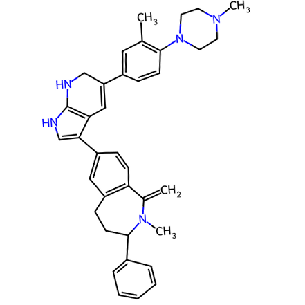 C=C1c2ccc(-c3c[nH]c4c3C=C(c3ccc(N5CCN(C)CC5)c(C)c3)CN4)cc2CCC(c2ccccc2)N1C